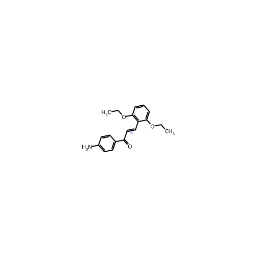 CCOc1cccc(OCC)c1/C=C/C(=O)c1ccc(N)cc1